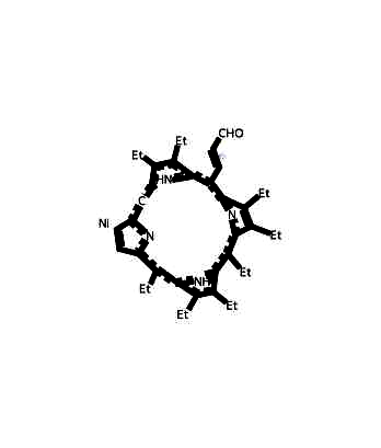 CCC1=C(CC)c2nc1c(/C=C/C=O)c1[nH]c(cc3nc(c(CC)c4[nH]c(c2CC)c(CC)c4CC)C=C3)c(CC)c1CC.[Ni]